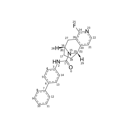 O=C(Nc1ccc(-c2ccccc2)cc1)N1[C@@H]2CC[C@H]1c1ccnc(F)c1C2